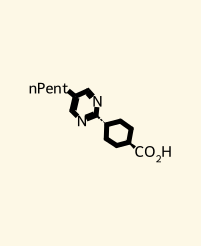 CCCCCc1cnc([C@H]2CC[C@H](C(=O)O)CC2)nc1